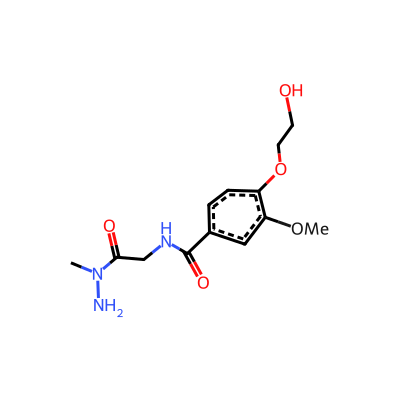 COc1cc(C(=O)NCC(=O)N(C)N)ccc1OCCO